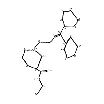 CCOC(=O)C1CCCN(CCC=C(C2CCCCC2)C2CCCCC2)C1